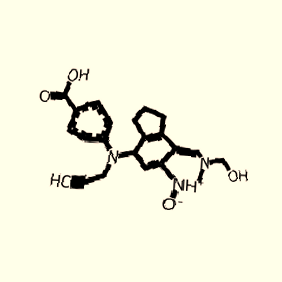 C#CCN(c1ccc(C(=O)O)cc1)C1C=C2C(=CN(CO)C[NH+]2[O-])C2=C1CCC2